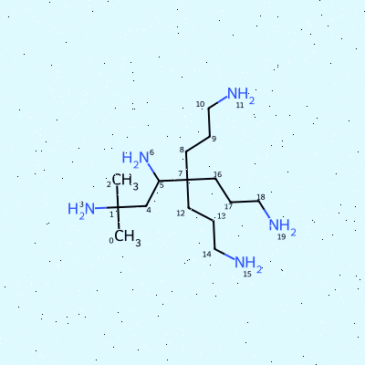 CC(C)(N)CC(N)C(CCCN)(CCCN)CCCN